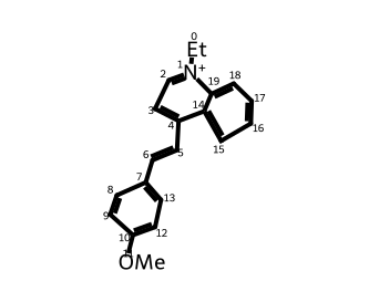 CC[n+]1ccc(/C=C/c2ccc(OC)cc2)c2ccccc21